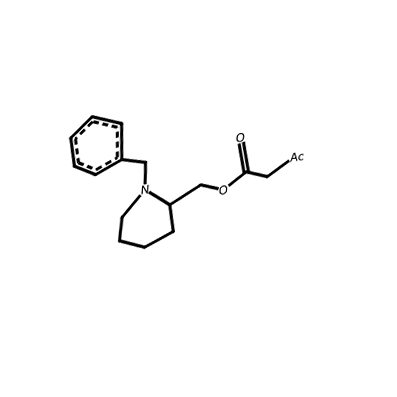 CC(=O)CC(=O)OCC1CCCCN1Cc1ccccc1